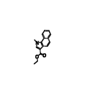 CCOC(=O)c1cn(C)c2c1ccc1ccccc12